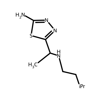 CC(C)CCNC(C)c1nnc(N)s1